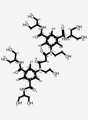 O=C(NC(CO)CO)c1c(I)c(C(=O)NC(CO)CO)c(I)c(N(CCO)C(=O)CC(=O)N(CCO)c2c(I)c(C(=O)NC(CO)CO)c(I)c(C(=O)NC(CO)CO)c2I)c1I